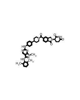 Cc1cccc(C)c1Nc1nn(C)c2nc(Nc3ccc(C4CCN(C(=O)c5ccc6c(c5)CN(C5CCC(=O)NC5=O)C6=O)CC4)cc3)ncc12